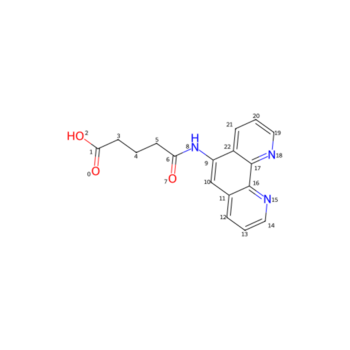 O=C(O)CCCC(=O)Nc1cc2cccnc2c2ncccc12